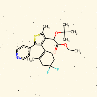 CCOC(=O)C(OC(C)(C)C)c1c(C)sc(-c2ccncc2)c1C1=C(C)CC(F)(F)CC1